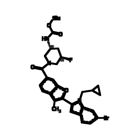 Cc1c(-c2cc3ccc(Br)cc3n2CC2CC2)oc2cc(C(=O)N3C[C@H](F)C[C@@H](NC(=O)OC(C)(C)C)C3)ccc12